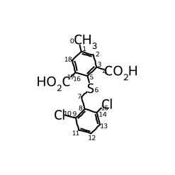 Cc1cc(C(=O)O)c(SCc2c(Cl)cccc2Cl)c(C(=O)O)c1